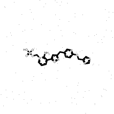 Nc1c(-c2cc(Cc3ccc(OCc4cscn4)nc3)no2)ccc[n+]1COP(=O)([O-])O